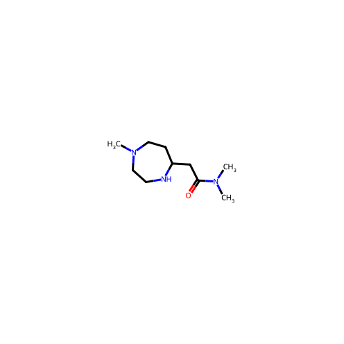 CN1CCNC(CC(=O)N(C)C)CC1